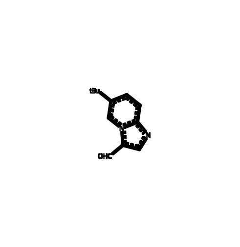 CC(C)(C)c1ccc2ncc(C=O)n2c1